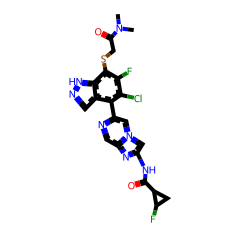 CN(C)C(=O)CSc1c(F)c(Cl)c(-c2cn3cc(NC(=O)C4CC4F)nc3cn2)c2cn[nH]c12